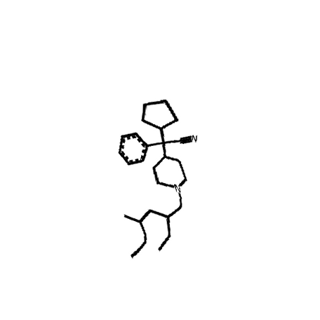 CCC(C)CC(CC)CN1CCC(C(C#N)(c2ccccc2)C2CCCC2)CC1